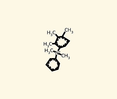 Cc1ccc([N+](C)(C)c2ccccc2)c(C)c1C